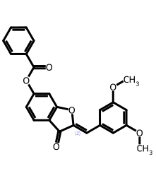 COc1cc(/C=C2\Oc3cc(OC(=O)c4ccccc4)ccc3C2=O)cc(OC)c1